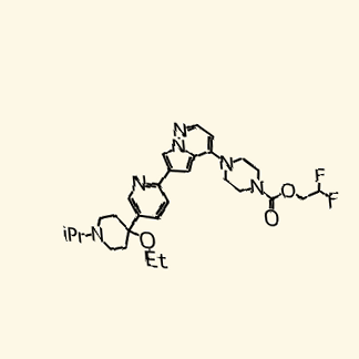 CCOC1(c2ccc(-c3cc4c(N5CCN(C(=O)OCC(F)F)CC5)ccnn4c3)nc2)CCN(C(C)C)CC1